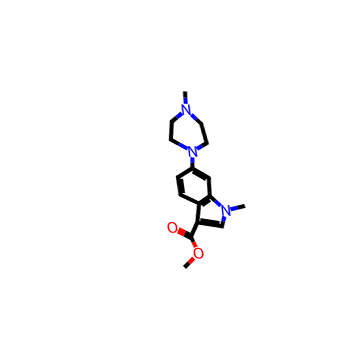 COC(=O)c1cn(C)c2cc(N3CCN(C)CC3)ccc12